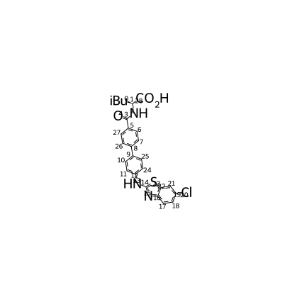 CCC(C)[C@H](NC(=O)c1ccc(-c2ccc(Nc3nc4ccc(Cl)cc4s3)cc2)cc1)C(=O)O